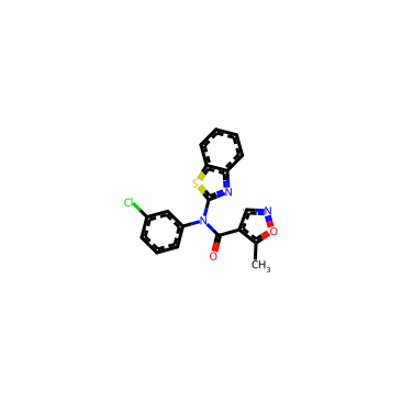 Cc1on[c]c1C(=O)N(c1cccc(Cl)c1)c1nc2ccccc2s1